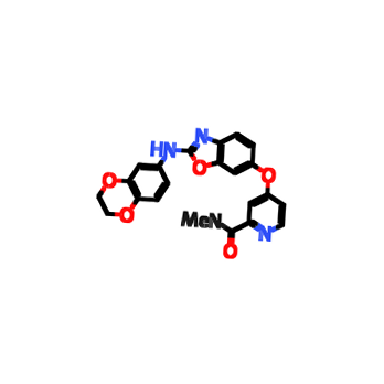 CNC(=O)c1cc(Oc2ccc3nc(Nc4ccc5c(c4)OCCO5)oc3c2)ccn1